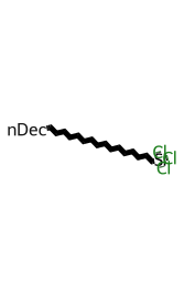 CCCCCCCCCCCCCCCCCCCCCCCCCC[Si](Cl)(Cl)Cl